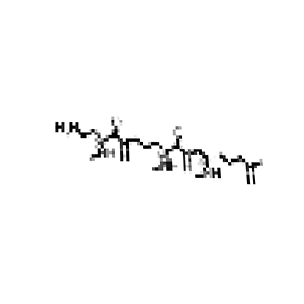 CNCCC[C@@H](CNC(=O)[C@H](CCCNC(=O)[C@H](CCN)NC)NC)NC